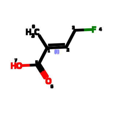 C/C(=C\CF)C(=O)O